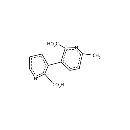 Cc1ccc(-c2cccnc2C(=O)O)c(C(=O)O)n1